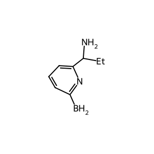 Bc1cccc(C(N)CC)n1